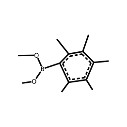 COB(OC)c1c(C)c(C)c(C)c(C)c1C